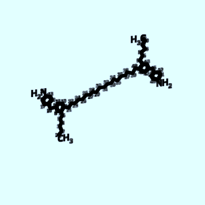 CCCCCCCc1cc(Cc2ccc(N)cc2)ccc1CCCCCCCCCCCCCCCCCCCCc1ccc(Cc2ccc(N)cc2)cc1CCCCCCC